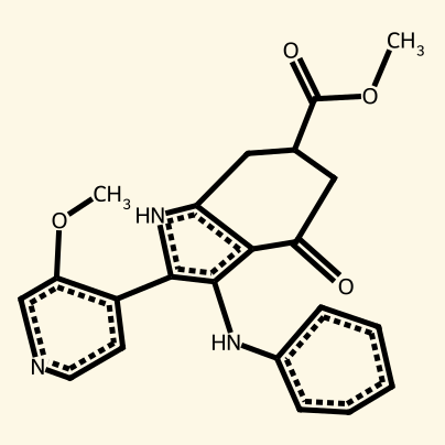 COC(=O)C1CC(=O)c2c([nH]c(-c3ccncc3OC)c2Nc2ccccc2)C1